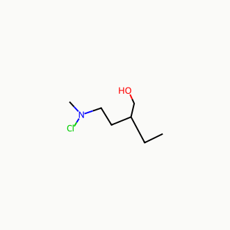 CCC(CO)CCN(C)Cl